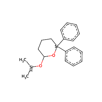 C[SiH](C)OC1CCC[Si](c2ccccc2)(c2ccccc2)O1